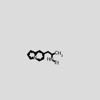 CCNC(C)Cc1ccn2cccc2c1